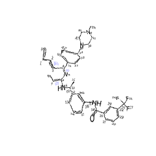 C=C/C=C/C(=N\C(=C/C)N[C@@H](C)c1cccc(NC(=O)c2cccc(C(F)(F)F)c2)c1)c1ccc(N2CCN(C)CC2)cc1